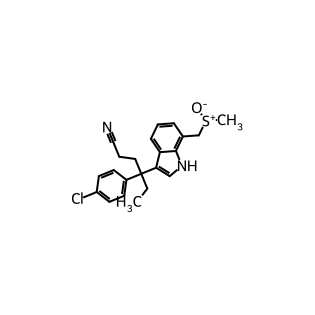 CCC(CCC#N)(c1ccc(Cl)cc1)c1c[nH]c2c(C[S+](C)[O-])cccc12